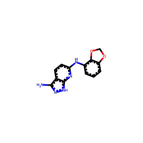 Nc1n[nH]c2nc(Nc3cccc4c3OCO4)ccc12